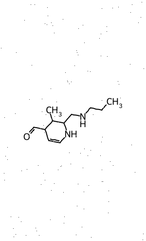 CCCNCC1NC=CC(C=O)C1C